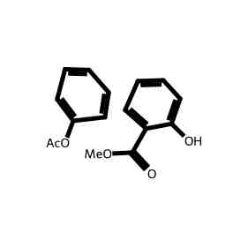 CC(=O)Oc1ccccc1.COC(=O)c1ccccc1O